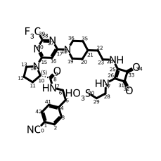 N#Cc1ccc(CCNC(=O)[C@@H]2CCCN2c2cc(N3CCC(CCNc4c(NCCS(=O)(=O)O)c(=O)c4=O)CC3)nc(C(F)(F)F)n2)cc1